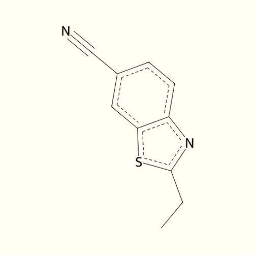 CCc1nc2ccc(C#N)cc2s1